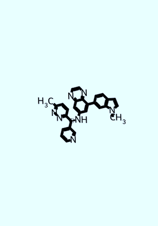 Cc1ccc([C@@H](Nc2cc(-c3ccc4ccn(C)c4c3)c3nccnc3c2)c2cccnc2)nn1